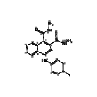 Cc1ccc(Nc2cc(C(=O)NN)c(C(=O)NN)c3ccccc23)cc1